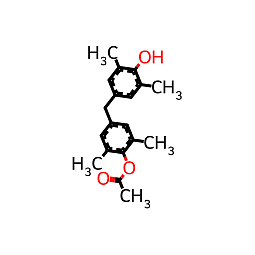 CC(=O)Oc1c(C)cc(Cc2cc(C)c(O)c(C)c2)cc1C